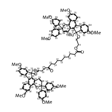 CCCCC1(OCCOC(=O)CCCCCCCCC(=O)OCCOC2(CCCC)c3cc(OC)ccc3-c3c2c2c(c4cc(OC)ccc34)OC(c3ccc(OC)cc3)(c3ccc(OC)cc3)C=C2)c2cc(OC)ccc2-c2c1c1c(c3cc(OC)ccc23)OC(c2ccc(OC)cc2)(c2ccc(OC)cc2)C=C1